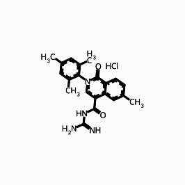 Cc1cc(C)c(-n2cc(C(=O)NC(=N)N)c3cc(C)ccc3c2=O)c(C)c1.Cl